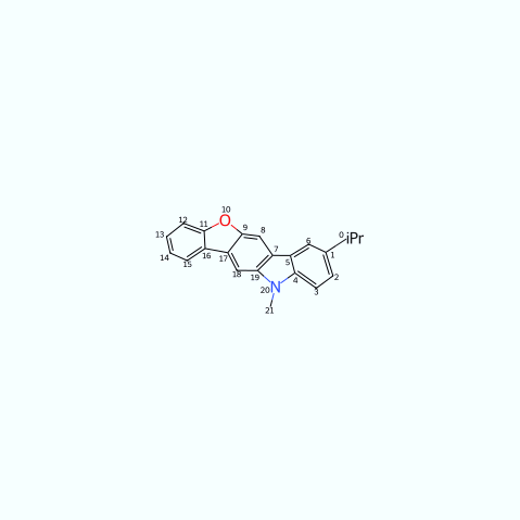 CC(C)c1ccc2c(c1)c1cc3oc4ccccc4c3cc1n2C